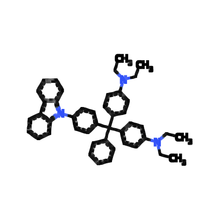 CCN(CC)c1ccc(C(c2ccccc2)(c2ccc(N(CC)CC)cc2)c2ccc(-n3c4ccccc4c4ccccc43)cc2)cc1